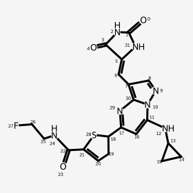 O=C1NC(=O)/C(=C/c2cnn3c(NC4CC4)cc(C4CC=C(C(=O)NCCF)S4)nc23)N1